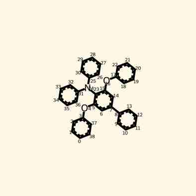 c1ccc(Oc2cc(-c3ccccc3)cc(Oc3ccccc3)c2N(c2ccccc2)c2ccccc2)cc1